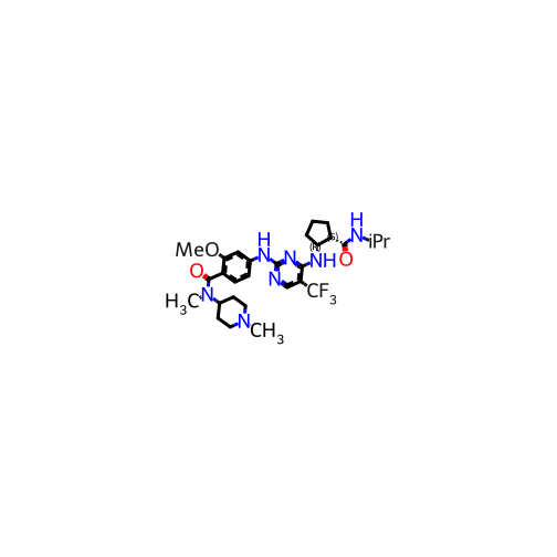 COc1cc(Nc2ncc(C(F)(F)F)c(N[C@@H]3CCC[C@@H]3C(=O)NC(C)C)n2)ccc1C(=O)N(C)C1CCN(C)CC1